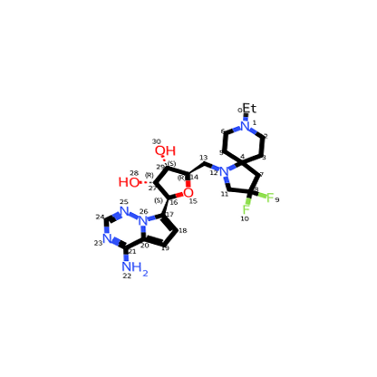 CCN1CCC2(CC1)CC(F)(F)CN2C[C@H]1O[C@@H](c2ccc3c(N)ncnn23)[C@H](O)[C@@H]1O